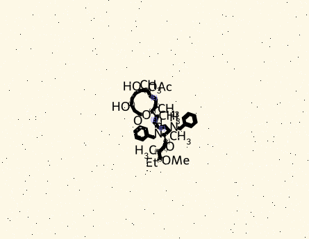 CC[C@H](OC)[C@@H](C)[C@H]1O[C@@H]1C(NCc1ccccc1)C(C)(/C=C/C=C(\C)[C@H]1OC(=O)C[C@H](O)CCC(C)(O)[C@@H](OC(C)=O)/C=C/[C@@H]1C)NCc1ccccc1